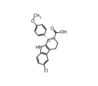 COc1ccc([C@H]2c3[nH]c4ccc(Cl)cc4c3CCN2C(=O)O)cc1